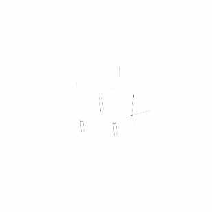 CC1CC(C)(C)C(=O)C(C(=O)C(F)(F)F)=C1O